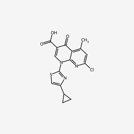 Cc1cc(Cl)nc2c1c(=O)c(C(=O)O)cn2-c1nc(C2CC2)cs1